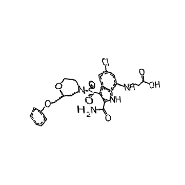 NC(=O)c1[nH]c2c(NCCC(=O)O)cc(Cl)cc2c1S(=O)(=O)N1CCOC(COc2ccccc2)C1